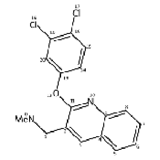 CNCc1cc2ccccc2nc1Oc1ccc(Cl)c(Cl)c1